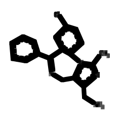 Cc1nc(CN)c2n1-c1ccc(Cl)cc1C(c1ccccc1)=NC2